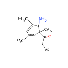 CC(=O)CC(=O)C1(C)C=C(C)C=C(C)C1N